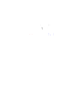 O=C(O)[C@H](COCc1ccccc1)NS(=O)(=O)c1ccc2c(c1)Sc1ccccc1O2